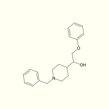 OC(COc1ccccc1)C1CCN(Cc2ccccc2)CC1